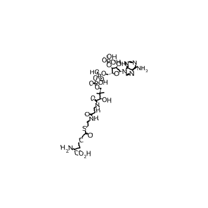 CC(C)(COP(=O)(O)OP(=O)(O)OC[C@H]1O[C@@H](n2cnc3c(N)ncnc32)[C@H](O)[C@@H]1OP(=O)(O)O)[C@@H](O)C(=O)NCCC(=O)NCCSC(=O)CCCCC(N)C(=O)O